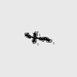 C=C(C(=O)Oc1ccc(C#Cc2c(OC(=O)C(=C)C(F)(F)F)cc(C#Cc3ccc(C(=O)Oc4ccc(OC(=O)C(=C)C(F)(F)F)cc4)cc3)cc2OC(=O)C(=C)C(F)(F)F)cc1)C(F)(F)F